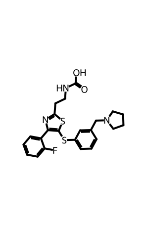 O=C(O)NCCc1nc(-c2ccccc2F)c(Sc2cccc(CN3CCCC3)c2)s1